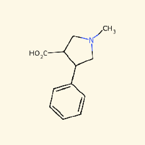 CN1CC(C(=O)O)C(c2ccccc2)C1